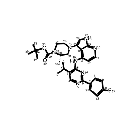 CC(C)c1cnc(-c2ccc(F)cc2)nc1Nc1ccnc2[nH]cc(N3CCN(C(=O)OC(C)(C)C)[C@@H](C)C3)c12